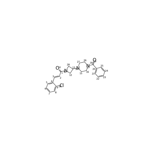 O=C(/C=C/c1ccccc1Cl)N1CC(N2CCN(C(=O)c3ccccc3)CC2)C1